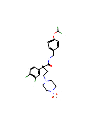 CC(CCN1CCN(S(C)(=O)=O)CC1)(C(=O)NCc1ccc(OC(F)F)cc1)c1ccc(Cl)c(Cl)c1